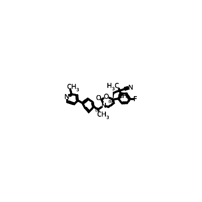 Cc1cc(-c2ccc([C@H](C)N3CC[C@@](CC(C)(C)C#N)(c4ccc(F)cc4)OC3=O)cc2)ccn1